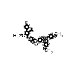 CCOc1cc(-c2ccc(F)cc2)c(C2CC2)cc1CN1CCC2(CC1)CN(c1ccc(S(=O)(=O)N(Cc3ccc(OC)cc3)Cc3ccc(OC)cc3)cc1)C(=O)O2